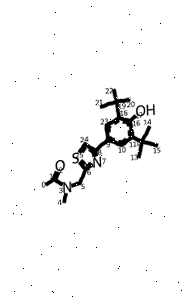 CC(=O)N(C)Cc1nc(-c2cc(C(C)(C)C)c(O)c(C(C)(C)C)c2)cs1